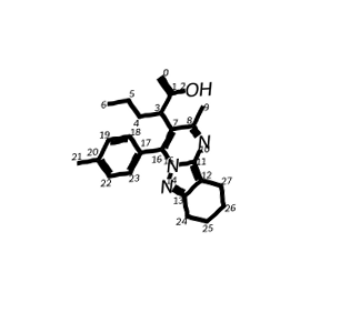 C=C(O)C(CCC)c1c(C)nc2c3c(nn2c1-c1ccc(C)cc1)CCCC3